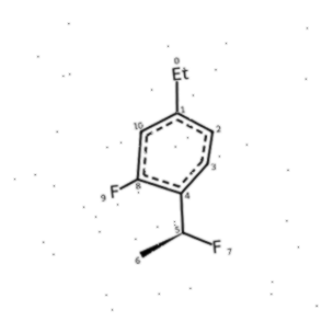 CCc1ccc([C@H](C)F)c(F)c1